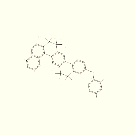 Cc1ccc(Nc2ccc3c(c2)C(C)(C)C(C)(C)c2cc4c(cc2-3)C(C)(C)C(C)(C)c2ccc3ccccc3c2-4)c(C)c1